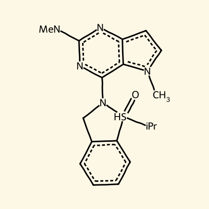 CNc1nc(N2Cc3ccccc3[SH]2(=O)C(C)C)c2c(ccn2C)n1